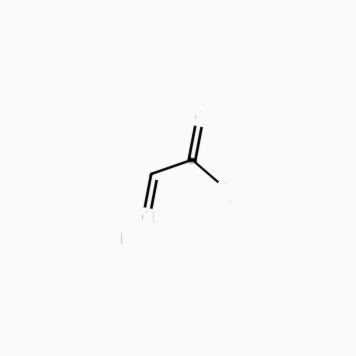 C=CC(=O)[Si].[Li]